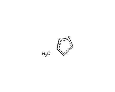 O.c1ccsc1